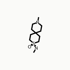 CN=S1(=O)CCC2(CCN(C)CC2)CC1